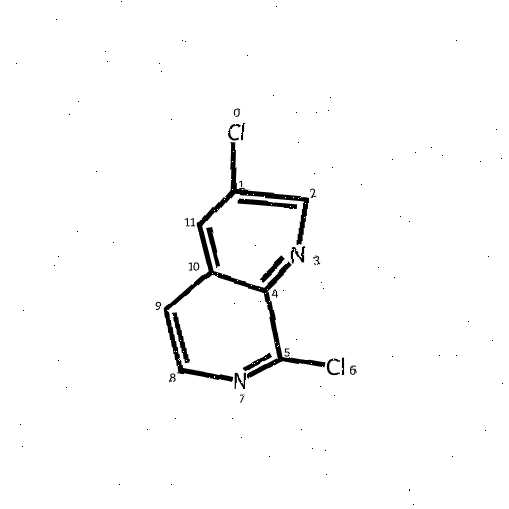 Clc1cnc2c(Cl)nccc2c1